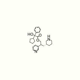 O=C(OCC(C[C@H]1CCCNC1)c1cccnc1)C(O)(c1ccccc1)C1CCCC1